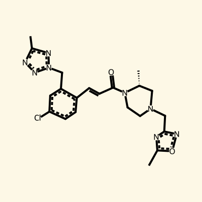 Cc1nnn(Cc2cc(Cl)ccc2C=CC(=O)N2CCN(Cc3noc(C)n3)C[C@H]2C)n1